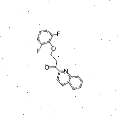 O=C(CCOc1c(F)cccc1F)c1ccc2ccccc2n1